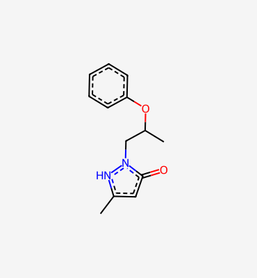 Cc1cc(=O)n(CC(C)Oc2ccccc2)[nH]1